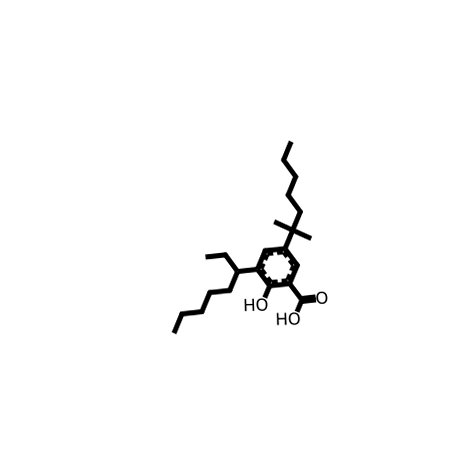 CCCCCC(CC)c1cc(C(C)(C)CCCCC)cc(C(=O)O)c1O